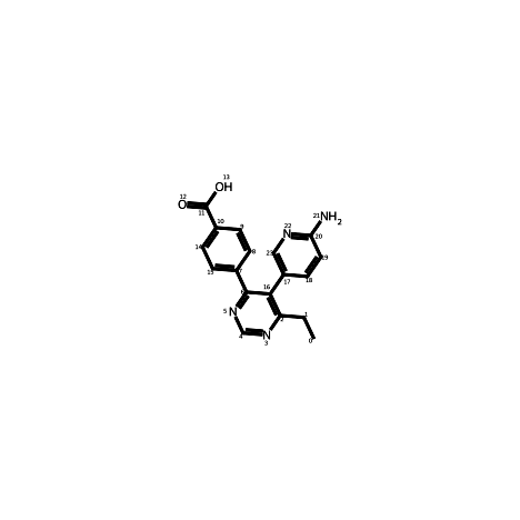 CCc1ncnc(-c2ccc(C(=O)O)cc2)c1-c1ccc(N)nc1